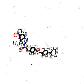 CC(=O)c1ccc(/N=C2/S/C(=C\c3ccc(OCc4ccc(C5CCCCC5)cc4)cc3)C(=O)N2C)cc1